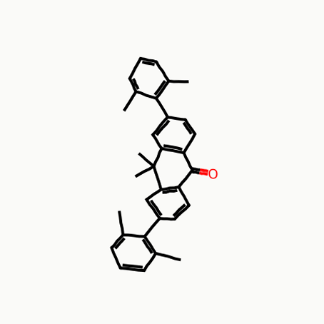 Cc1cccc(C)c1-c1ccc2c(c1)C(C)(C)c1cc(-c3c(C)cccc3C)ccc1C2=O